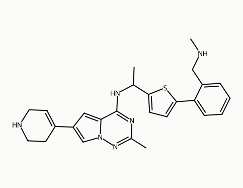 CNCc1ccccc1-c1ccc(C(C)Nc2nc(C)nn3cc(C4=CCNCC4)cc23)s1